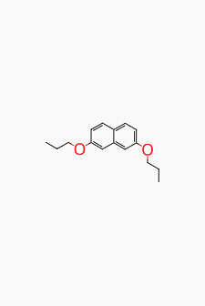 CCCOc1ccc2ccc(OCCC)cc2c1